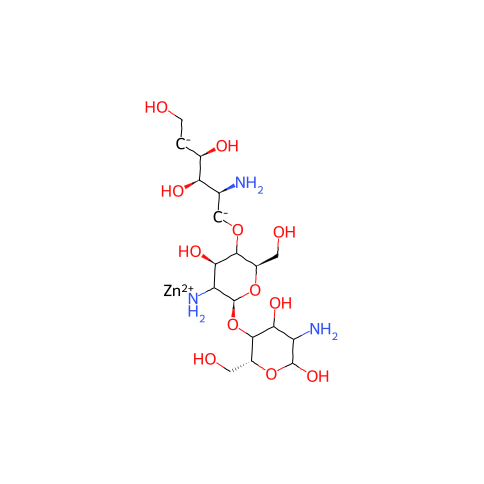 NC1C(O)O[C@H](CO)C(O[C@@H]2O[C@H](CO)C(O[CH-][C@H](N)[C@@H](O)[C@H](O)[CH-]CO)[C@H](O)C2N)C1O.[Zn+2]